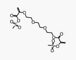 C=C(OS(C)(=O)=O)C(=O)OCCOCCOCCOC(=C)C(=O)OS(C)(=O)=O